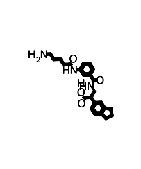 NCCCCC(=O)Nc1cccc(C(=O)NCC(C(=O)O)c2ccc3c(c2)CCC3)c1